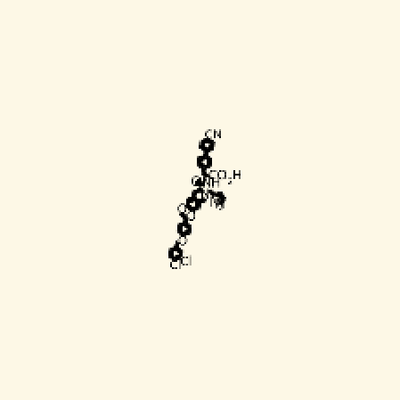 Cn1ccc(CN2Cc3cc4c(cc3C[C@H]2C(=O)N[C@@H](Cc2ccc(-c3ccc(C#N)cc3)cc2)C(=O)O)OCC(c2ccc(OCc3ccc(Cl)c(Cl)c3)cc2)O4)n1